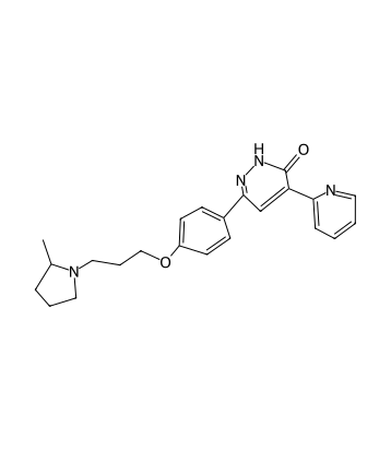 CC1CCCN1CCCOc1ccc(-c2cc(-c3ccccn3)c(=O)[nH]n2)cc1